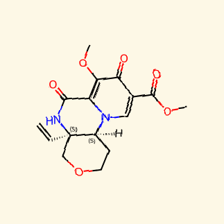 C=C[C@@]12COCC[C@@H]1n1cc(C(=O)OC)c(=O)c(OC)c1C(=O)N2